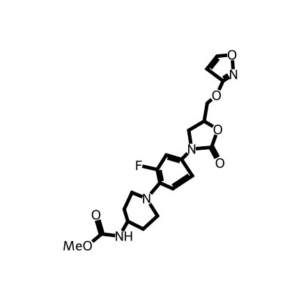 COC(=O)NC1CCN(c2ccc(N3CC(COc4ccon4)OC3=O)cc2F)CC1